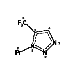 CC(C)n1nncc1C(F)(F)F